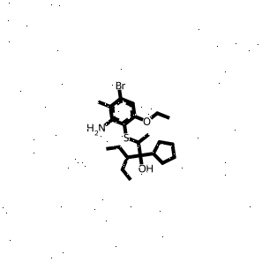 CCOc1cc(Br)c(C)c(N)c1SC(C)C(O)(C(CC)CC)C1CCCC1